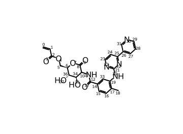 C=CC(=O)OC[C@H]1OC(=O)C(NC(=O)c2ccc(C)c(Nc3nccc(-c4cccnc4)n3)c2)[C@@H](O)[C@@H]1O